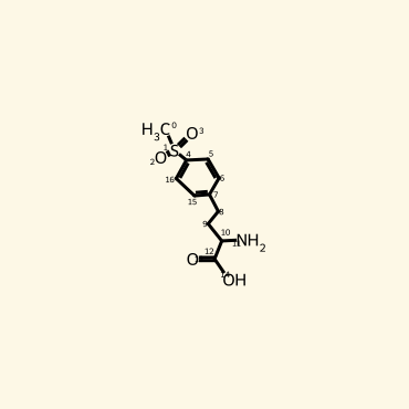 CS(=O)(=O)c1ccc(CCC(N)C(=O)O)cc1